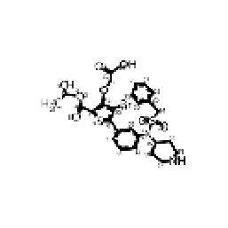 CC(C)OC(=O)c1sc(-c2cccc(N(C3CCNCC3)S(=O)(=O)Cc3ccccc3)c2)c(Br)c1OCC(=O)O